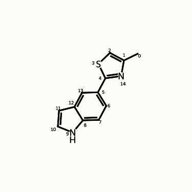 Cc1csc(-c2ccc3[nH]ccc3c2)n1